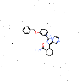 NC(=O)C1CCCCC1C1=C2C=NC=C[N+]2(N)C(c2cccc(OCc3ccccc3)c2)=N1